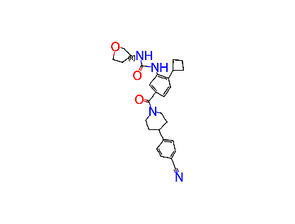 N#Cc1ccc(C2CCN(C(=O)c3ccc(C4CCC4)c(NC(=O)N[C@@H]4CCOC4)c3)CC2)cc1